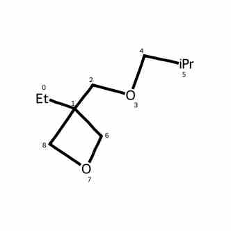 CCC1(COCC(C)C)COC1